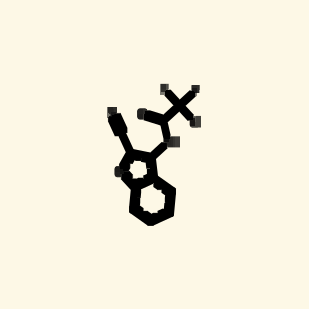 N#Cc1oc2ccccc2c1NC(=O)C(F)(F)Cl